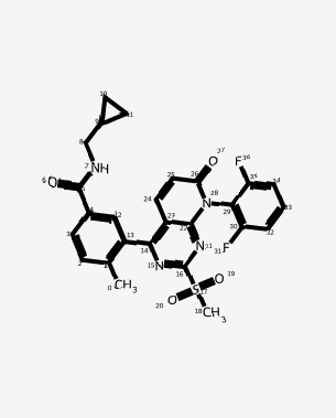 Cc1ccc(C(=O)NCC2CC2)cc1-c1nc(S(C)(=O)=O)nc2c1ccc(=O)n2-c1c(F)cccc1F